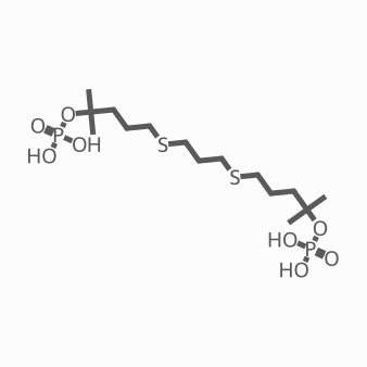 CC(C)(CCCSCCCSCCCC(C)(C)OP(=O)(O)O)OP(=O)(O)O